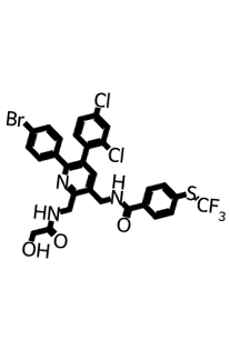 O=C(CO)NCc1nc(-c2ccc(Br)cc2)c(-c2ccc(Cl)cc2Cl)cc1CNC(=O)c1ccc(SC(F)(F)F)cc1